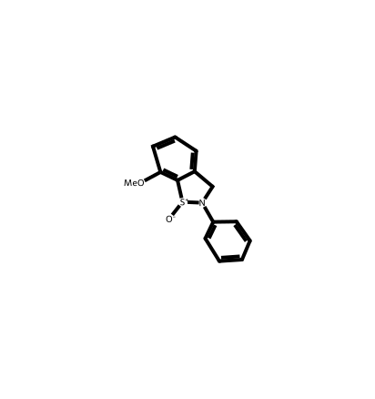 COc1cccc2c1[S+]([O-])N(c1ccccc1)C2